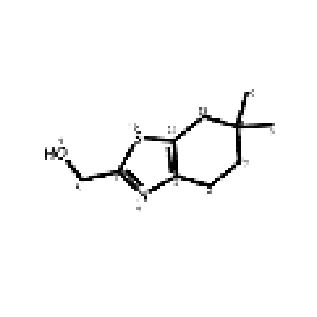 CC1(C)CCc2nc(CO)sc2C1